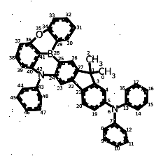 CC1(C)c2cc(N(c3ccccc3)c3ccccc3)ccc2-c2cc3c(cc21)B1c2ccccc2Oc2cccc(c21)N3c1ccccc1